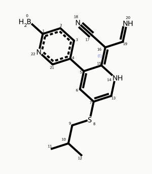 Bc1ccc(C2=CC(SCC(C)C)=CN/C2=C(/C#N)C=N)cn1